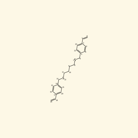 C=Cc1ccc(CSCCCCSCc2ccc(C=C)cc2)cc1